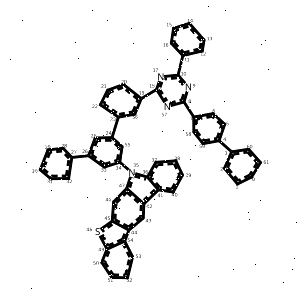 c1ccc(-c2ccc(-c3nc(-c4ccccc4)nc(-c4cccc(-c5cc(-c6ccccc6)cc(-n6c7ccccc7c7cc8c(cc76)sc6ccccc68)c5)c4)n3)cc2)cc1